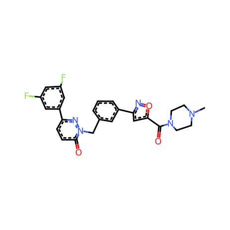 CN1CCN(C(=O)c2cc(-c3cccc(Cn4nc(-c5cc(F)cc(F)c5)ccc4=O)c3)no2)CC1